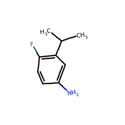 CC(C)c1cc(N)ccc1F